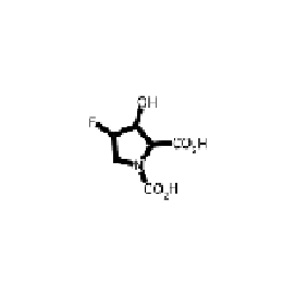 O=C(O)C1C(O)C(F)CN1C(=O)O